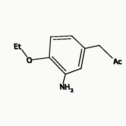 CCOc1ccc(CC(C)=O)cc1N